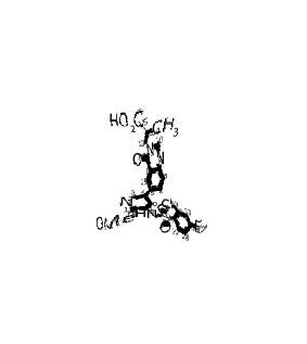 COc1ncc(-c2ccc3ncn(C[C@@H](C)C(=O)O)c(=O)c3c2)cc1NS(=O)(=O)c1ccc(F)cc1Cl